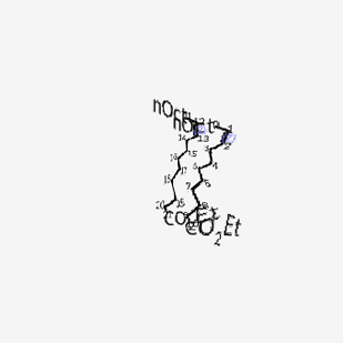 CCCCCCCC/C=C\CCCCCCCC(=O)OCC.CCCCCCCC/C=C\CCCCCCCC(=O)OCC